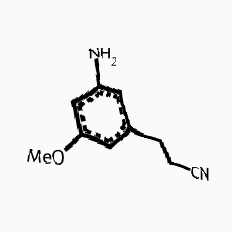 COc1cc(N)cc(CCC#N)c1